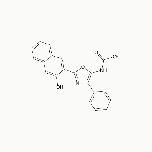 O=C(Nc1oc(-c2cc3ccccc3cc2O)nc1-c1ccccc1)C(F)(F)F